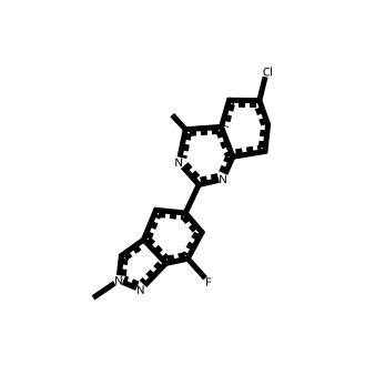 Cc1nc(-c2cc(F)c3nn(C)cc3c2)nc2ccc(Cl)cc12